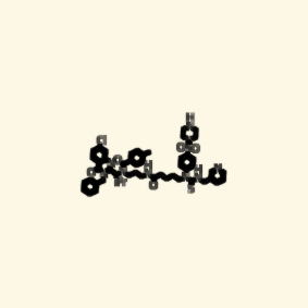 Cc1ccc(C(=O)N(CCCNC(=O)CCCCN(C(=S)NCc2cccnc2)c2ccc(S(=O)(=O)N3CCNCC3)cc2)C(c2nc3cc(Cl)ccc3c(=O)n2Cc2ccccc2)C(C)C)cc1